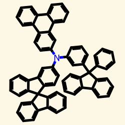 c1ccc(C2(c3cccc(N(c4ccc5c(c4)-c4ccccc4C54c5ccccc5-c5ccccc54)c4ccc5c6ccccc6c6ccccc6c5c4)c3)c3ccccc3-c3ccccc32)cc1